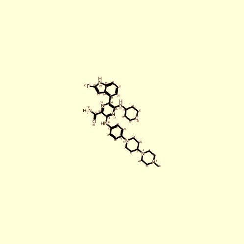 CN1CCN(C2CCN(c3ccc(Nc4nc(NC5CCOCC5)c(-c5cccc6[nH]c(F)cc56)nc4C(N)=O)cc3)CC2)CC1